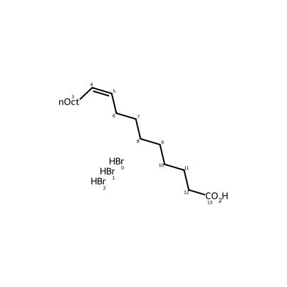 Br.Br.Br.CCCCCCCC/C=C\CCCCCCCC(=O)O